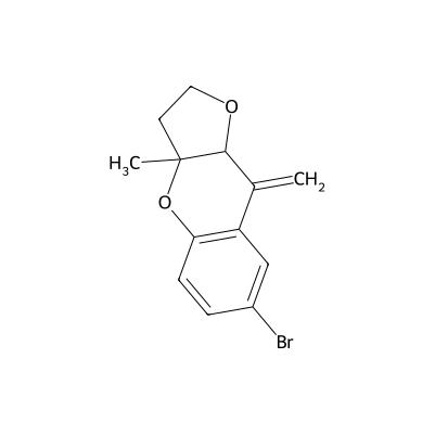 C=C1c2cc(Br)ccc2OC2(C)CCOC12